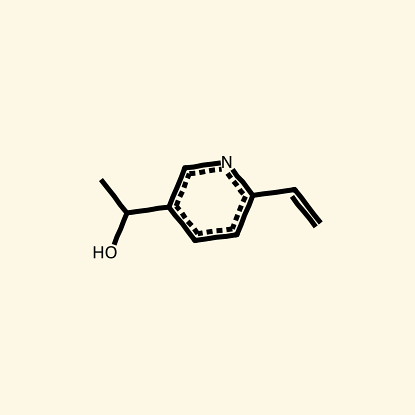 C=Cc1ccc(C(C)O)cn1